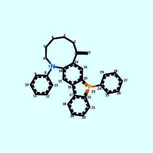 C=C1CCCCCN(c2ccccc2)c2cc3c4ccccc4p(-c4ccccc4)c3cc21